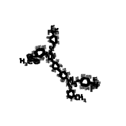 Cc1cccc(-n2cc(-c3ccc(-c4ccc(-c5cn(-c6cccc(S(C)(=O)=O)c6)c(SCc6ccc(C(F)(F)F)cc6)n5)cc4)cc3)nc2SCc2ccc(C(F)(F)F)cc2)c1